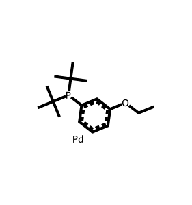 CCOc1cccc(P(C(C)(C)C)C(C)(C)C)c1.[Pd]